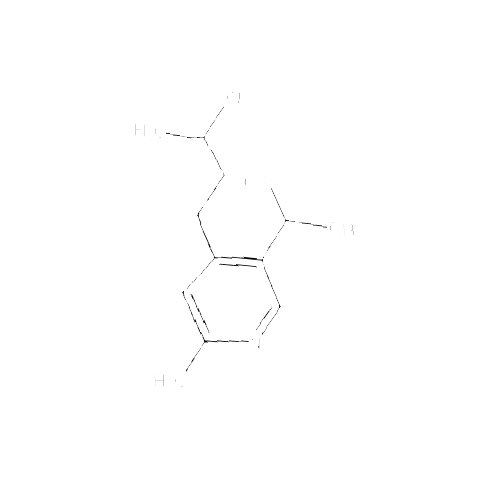 Cc1cc(CCC(C)C)c(C(C)C)cn1